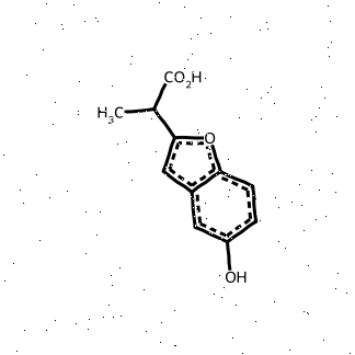 CC(C(=O)O)c1cc2cc(O)ccc2o1